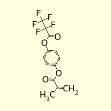 C=C(C)C(=O)Oc1ccc(OC(=O)C(F)(F)C(F)(F)F)cc1